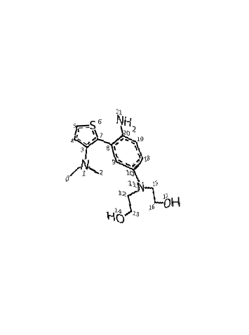 CN(C)c1ccsc1-c1cc(N(CCO)CCO)ccc1N